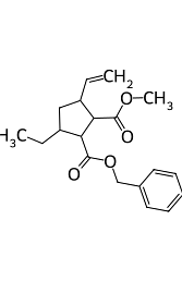 C=CC1CC(CC)C(C(=O)OCc2ccccc2)C1C(=O)OC